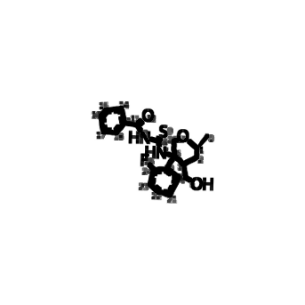 C[C@H]1CC(CO)C(NC(=S)NC(=O)c2ccccc2)(c2ccccc2F)CO1